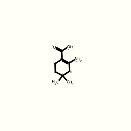 CC1(C)CCC(C(=O)O)=C(N)C1